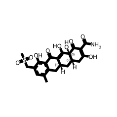 Cc1cc(CS(C)(=O)=O)c(O)c2c1C[C@H]1C[C@H]3CC(O)=C(C(N)=O)C(=O)[C@@]3(O)C(O)=C1C2=O